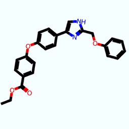 CCOC(=O)c1ccc(Oc2ccc(-c3c[nH]c(COc4ccccc4)n3)cc2)cc1